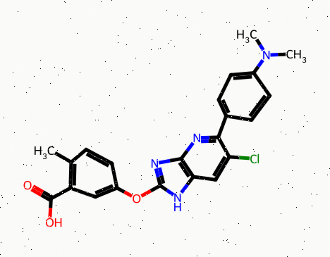 Cc1ccc(Oc2nc3nc(-c4ccc(N(C)C)cc4)c(Cl)cc3[nH]2)cc1C(=O)O